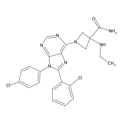 CCNC1(C(N)=O)CN(c2ncnc3c2nc(-c2ccccc2Cl)n3-c2ccc(Cl)cc2)C1